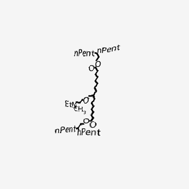 CCCCCC(CCCCC)CCOC(=O)CCCCCCCC(CCCCCCCC(=O)OCCC(CCCCC)CCCCC)COCCCN(C)CC